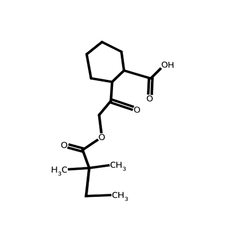 CCC(C)(C)C(=O)OCC(=O)C1CCCCC1C(=O)O